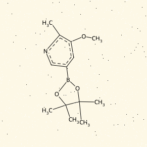 COc1cc(B2OC(C)(C)C(C)(C)O2)cnc1C